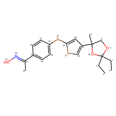 CCC1(CC)OCC(C)(c2csc(Sc3ccc(/C(C)=N/O)cc3)c2)O1